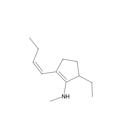 CC/C=C\C1=C(NC)C(CC)CC1